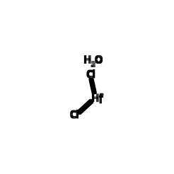 O.[Cl][Hf][Cl]